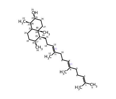 CC(C)=CCC/C(C)=C/CC/C(C)=C/CC[C@H]1[C@@H](C)CCC2[C@@H](C)[C@@H](O)CC[C@@]21C